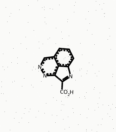 O=C(O)C1=Nc2cccc3cnnc1c23